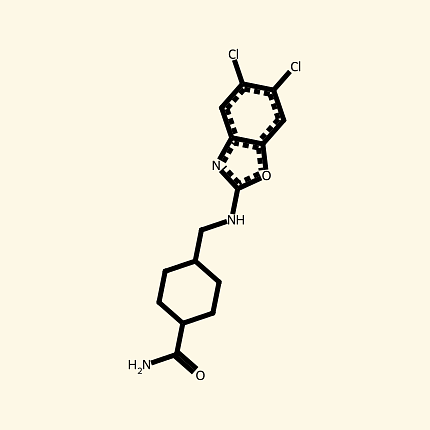 NC(=O)C1CCC(CNc2nc3cc(Cl)c(Cl)cc3o2)CC1